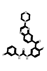 O=C(Nc1cccc(F)c1)Nc1ccc(F)c(C(=O)c2ccc3ncc(N4CCOCC4)nc3c2)c1